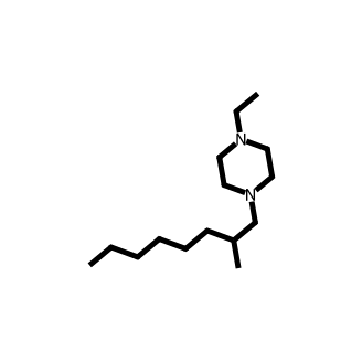 CCCCCCC(C)CN1CCN(CC)CC1